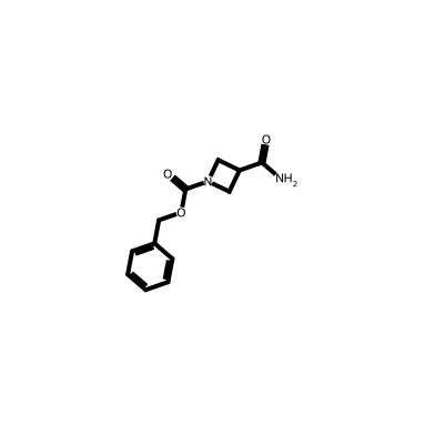 NC(=O)C1CN(C(=O)OCc2ccccc2)C1